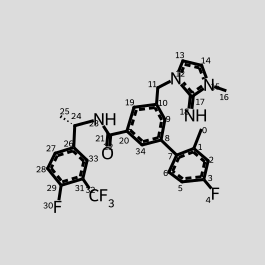 Cc1cc(F)ccc1-c1cc(Cn2ccn(C)c2=N)cc(C(=O)N[C@@H](C)c2ccc(F)c(C(F)(F)F)c2)c1